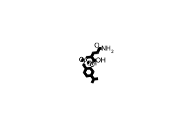 CC(C)C1CCC(CP(=O)(O)CC(CCC(N)=O)C(=O)O)CC1